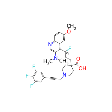 COc1ccc2ncc(N(C)C)c([C@@H](F)CCC3(C(=O)O)CCN(CC#Cc4cc(F)c(F)c(F)c4)CC3)c2c1